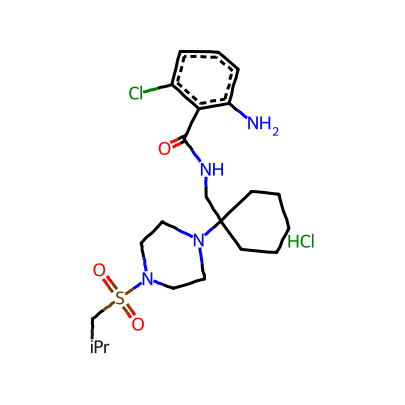 CC(C)CS(=O)(=O)N1CCN(C2(CNC(=O)c3c(N)cccc3Cl)CCCCC2)CC1.Cl